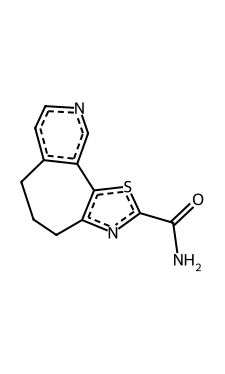 NC(=O)c1nc2c(s1)-c1cnccc1CCC2